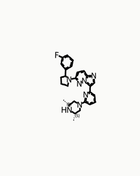 C[C@@H]1CN(c2cccc(-c3cnc4ccc(N5CCCC5c5cccc(F)c5)nn34)n2)C[C@H](C)N1